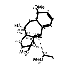 CC[C@@H]1CC2C(=CC=CC2OC)C2C[C@H](C(C)OC)[C@H](OC)C23OCO[C@@]13C